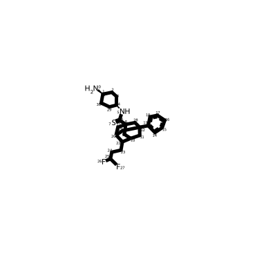 N[C@H]1CC[C@H](NC(=S)C23CC4CC(c5ccccc5)(CC(C2)C4CCC(F)F)C3)CC1